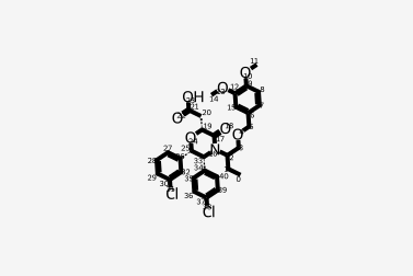 CCC(COCc1ccc(OC)c(OC)c1)N1C(=O)[C@@H](CC(=O)O)O[C@@H](c2cccc(Cl)c2)[C@H]1c1ccc(Cl)cc1